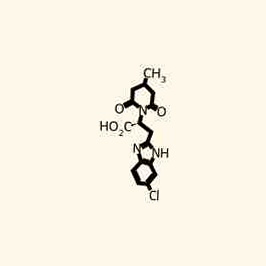 CC1CC(=O)N([C@H](Cc2nc3ccc(Cl)cc3[nH]2)C(=O)O)C(=O)C1